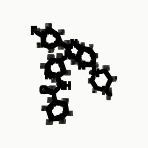 CN1CCN(c2ccc3nc(-c4ccc(F)cc4)n(-c4ccnc(NC(=O)c5ccccc5)c4)c3n2)CC1